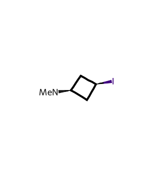 CN[C@H]1C[C@@H](I)C1